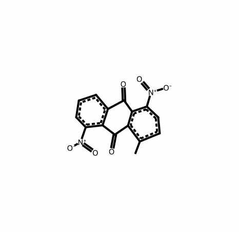 Cc1ccc([N+](=O)[O-])c2c1C(=O)c1c(cccc1[N+](=O)[O-])C2=O